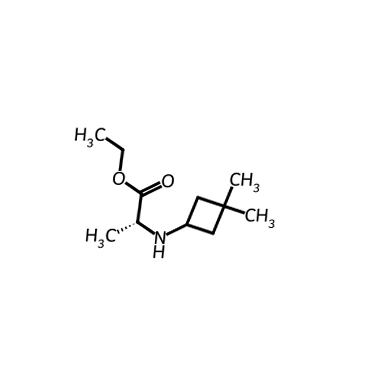 CCOC(=O)[C@@H](C)NC1CC(C)(C)C1